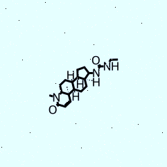 CCNC(=O)NC1CC[C@H]2[C@@H]3CCC4N(C)C(=O)C=C[C@]4(C)[C@@H]3CC[C@]12C